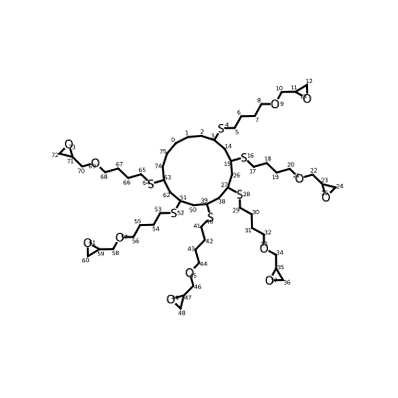 C1CCC(SCCCCOCC2CO2)CC(SCCCCOCC2CO2)CC(SCCCCOCC2CO2)CC(SCCCCOCC2CO2)CC(SCCCCOCC2CO2)CC(SCCCCOCC2CO2)CC1